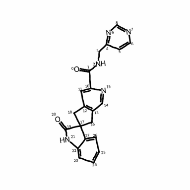 O=C(NCc1ccncn1)c1cc2c(cn1)CC1(C2)C(=O)Nc2ccccc21